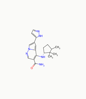 CC1CC[C@@H](Nc2c(C(N)=O)cnn3cc(-c4ccn[nH]4)cc23)C1(C)C